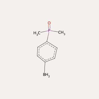 Bc1ccc(P(C)(C)=O)cc1